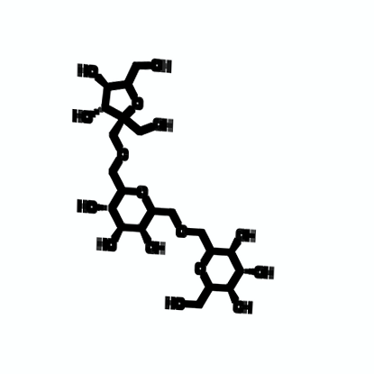 OCC1OC(COCC2OC(COC[C@]3(CO)OC(CO)[C@H](O)[C@H]3O)[C@@H](O)[C@H](O)[C@@H]2O)[C@@H](O)[C@H](O)[C@H]1O